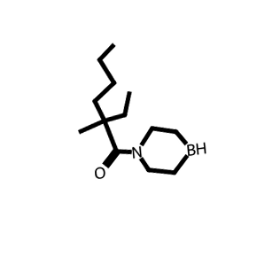 CCCCC(C)(CC)C(=O)N1CCBCC1